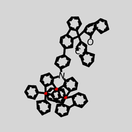 c1ccc(C2(c3ccccc3)c3ccccc3-c3c(N(c4ccc(-c5ccc6c(c5)C5(c7ccccc7-6)c6ccc7ccccc7c6Oc6c5ccc5ccccc65)cc4)c4cccc5c4-c4ccccc4C54c5ccccc5-c5ccccc54)cccc32)cc1